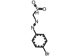 O=[SH](=O)CN=Nc1ccc(Br)cc1